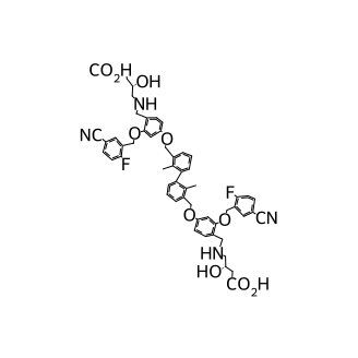 Cc1c(COc2ccc(CNC[C@@H](O)CC(=O)O)c(OCc3cc(C#N)ccc3F)c2)cccc1-c1cccc(COc2ccc(CNC[C@@H](O)CC(=O)O)c(OCc3cc(C#N)ccc3F)c2)c1C